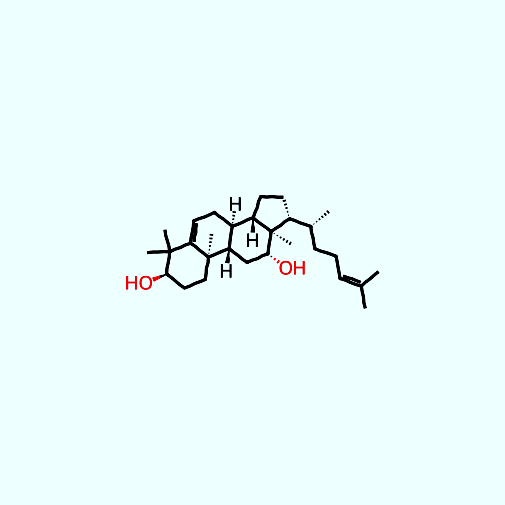 CC(C)=CCC[C@@H](C)[C@H]1CC[C@H]2[C@@H]3CC=C4C(C)(C)[C@H](O)CC[C@]4(C)[C@H]3C[C@@H](O)[C@]12C